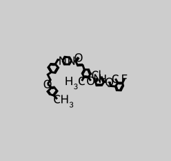 Cc1ccc(OCCc2ccc(CN3CCN(C(=O)C=Cc4cc(C)c(Oc5ccc(OCc6cccc(F)c6C)cn5)c(Cl)c4)CC3)cc2)cc1